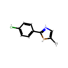 CCc1cnc(-c2ccc(Cl)cc2)s1